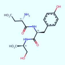 N[C@@H](CC(=O)O)C(=O)N[C@@H](Cc1ccc(O)cc1)C(=O)N[C@@H](CO)C(=O)O